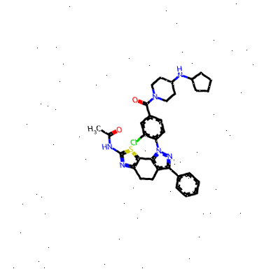 CC(=O)Nc1nc2c(s1)-c1c(c(-c3ccccc3)nn1-c1ccc(C(=O)N3CCC(NC4CCCC4)CC3)cc1Cl)CC2